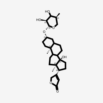 C[C@H]1CO[C@H](O[C@H]2CC[C@@]3(C)C(CCC4C3CC[C@]3(C)[C@@H](C5=CC(=O)OC5)CC[C@]43O)C2)[C@@H](O)C1O